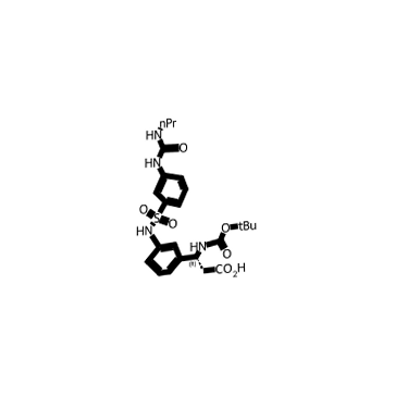 CCCNC(=O)Nc1cccc(S(=O)(=O)Nc2cccc([C@@H](CC(=O)O)NC(=O)OC(C)(C)C)c2)c1